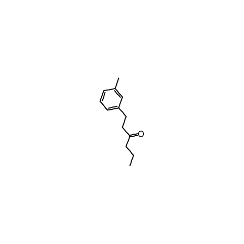 CCCC(=O)CCc1cccc(C)c1